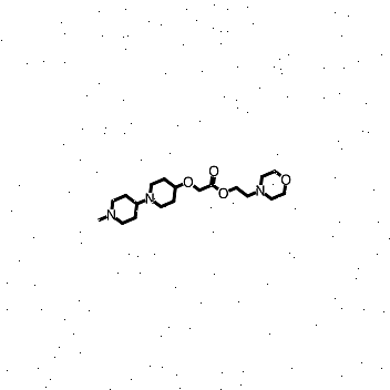 CN1CCC(N2CCC(OCC(=O)OCCN3CCOCC3)CC2)CC1